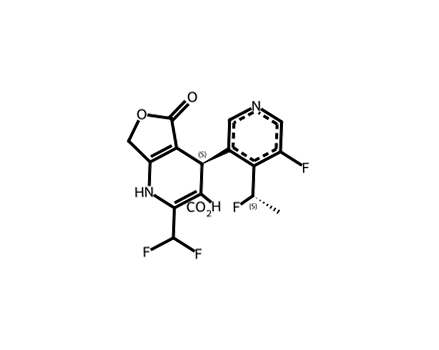 C[C@H](F)c1c(F)cncc1[C@@H]1C2=C(COC2=O)NC(C(F)F)=C1C(=O)O